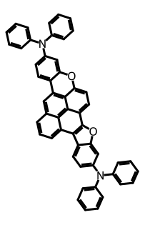 c1ccc(N(c2ccccc2)c2ccc3c(c2)Oc2ccc4c5oc6cc(N(c7ccccc7)c7ccccc7)ccc6c5c5cccc6cc-3c2c4c65)cc1